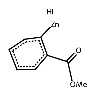 COC(=O)c1cccc[c]1[Zn].I